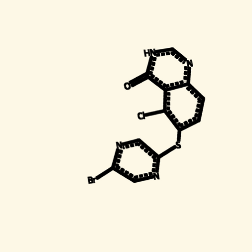 O=c1[nH]cnc2ccc(Sc3cnc(Br)cn3)c(Cl)c12